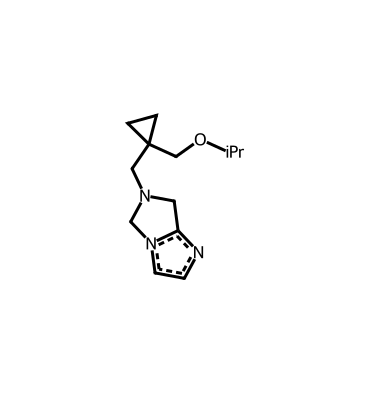 CC(C)OCC1(CN2Cc3nccn3C2)CC1